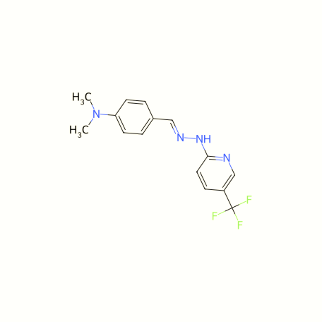 CN(C)c1ccc(C=NNc2ccc(C(F)(F)F)cn2)cc1